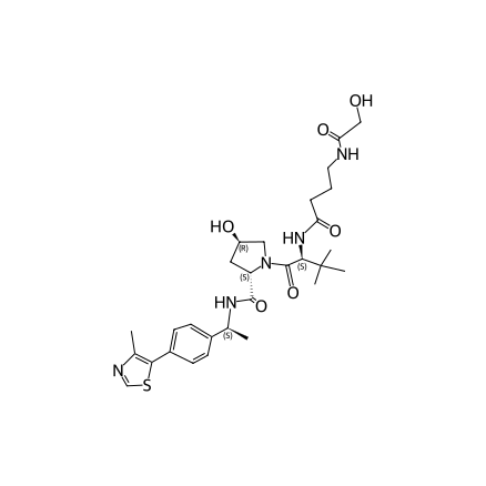 Cc1ncsc1-c1ccc([C@H](C)NC(=O)[C@@H]2C[C@@H](O)CN2C(=O)[C@@H](NC(=O)CCCNC(=O)CO)C(C)(C)C)cc1